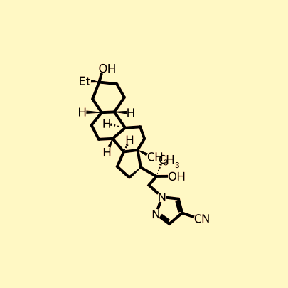 CC[C@@]1(O)CC[C@H]2[C@H](CC[C@@H]3[C@@H]2CC[C@@]2(C)[C@H]3CC[C@@H]2[C@@](C)(O)Cn2cc(C#N)cn2)C1